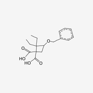 CCC1(CC)C(OCc2ccccc2)CC1(C(=O)O)C(=O)O